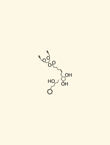 C#CCOCC(COCC#C)OC(=O)CCC/C=C\C[C@@H]1[C@@H](CC[C@@H](O)CCc2ccccc2)[C@H](O)C[C@@H]1O